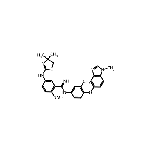 CNc1ccc(NC2=NC(C)(C)CO2)cc1C(=N)Nc1ccc(Oc2ccc3c(c2)ncn3C)c(C)c1